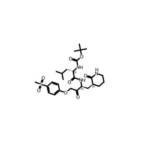 CC(C)C[C@H](NC(=O)OC(C)(C)C)C(=O)N[C@@H](C[C@@H]1CCCNC1=O)C(=O)COc1ccc(S(C)(=O)=O)cc1